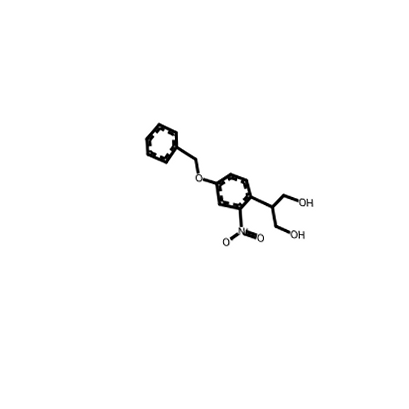 O=[N+]([O-])c1cc(OCc2ccccc2)ccc1C(CO)CO